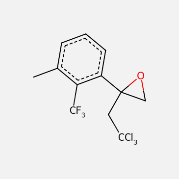 Cc1cccc(C2(CC(Cl)(Cl)Cl)CO2)c1C(F)(F)F